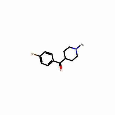 CC(=O)N1CCC(C(=O)c2ccc(Br)cc2)CC1